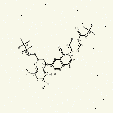 COc1cc(OC)c(F)c(N(CCCO[Si](C)(C)C(C)(C)C)c2ccc3ncn(C4CCN(C(=O)OC(C)(C)C)CC4)c(=O)c3c2)c1F